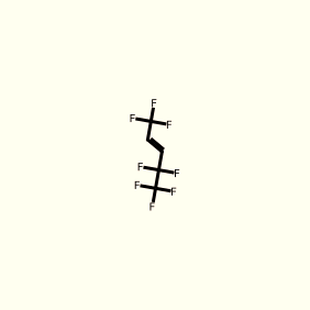 FC(F)(F)C=CC(F)(F)C(F)(F)F